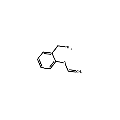 C=COc1ccccc1CN